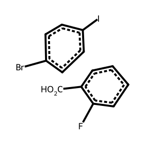 Brc1ccc(I)cc1.O=C(O)c1ccccc1F